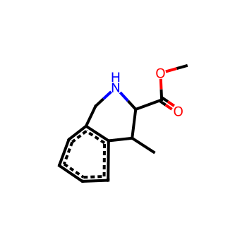 COC(=O)C1NCc2ccccc2C1C